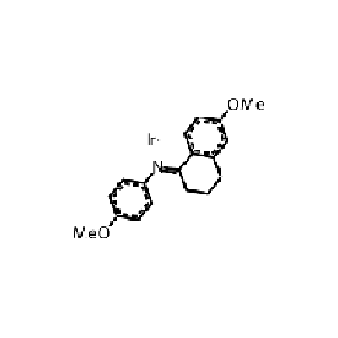 COc1ccc(N=C2CCCc3cc(OC)ccc32)cc1.[Ir]